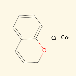 C1=Cc2ccccc2OC1.[C].[Co]